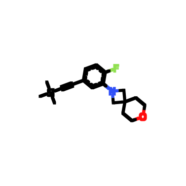 C[Si](C)(C)C#Cc1ccc(F)c(N2CC3(CCOCC3)C2)c1